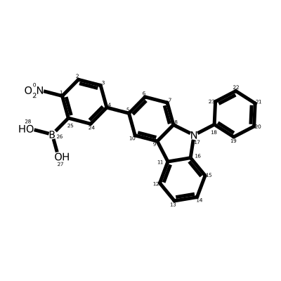 O=[N+]([O-])c1ccc(-c2ccc3c(c2)c2ccccc2n3-c2ccccc2)cc1B(O)O